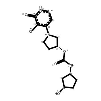 O=C(N[C@H]1CC[C@@H](O)C1)O[C@@H]1CCN(c2cn[nH]c(=O)c2Cl)C1